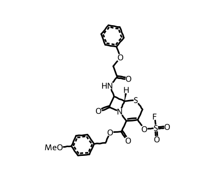 COc1ccc(COC(=O)C2=C(OS(=O)(=O)F)CS[C@H]3C(NC(=O)COc4ccccc4)C(=O)N23)cc1